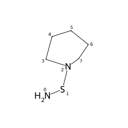 NSN1CCCCC1